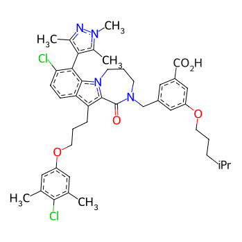 Cc1cc(OCCCc2c3n(c4c(-c5c(C)nn(C)c5C)c(Cl)ccc24)CCCN(Cc2cc(OCCCC(C)C)cc(C(=O)O)c2)C3=O)cc(C)c1Cl